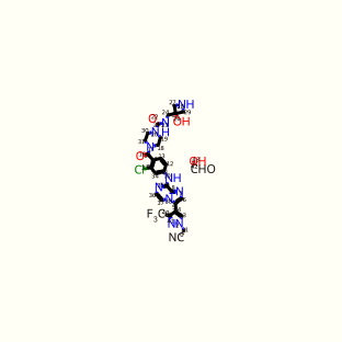 N#CCn1cc(-c2cnc3c(Nc4ccc(C(=O)N5CCN(C(=O)NCC6(O)CNC6)CC5)c(Cl)c4)nccn23)c(C(F)(F)F)n1.O=CO